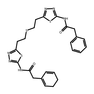 O=C(CC1=CCCC=C1)Nc1nnc(CCSCCc2nnc(NC(=O)Cc3ccccc3)s2)s1